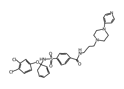 O=C(NCCCN1CCN(c2ccncc2)CC1)c1ccc(S(=O)(=O)NC2(Oc3ccc(Cl)c(Cl)c3)C=CC=CC2)cc1